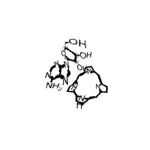 C1=C2CCC(=N2)C=C2CCC(N2)C2CCC(=N2)C=C2CCC1=N2.Nc1ncnc2c1ncn2[C@@H]1O[C@H](CO)[C@@H](O)[C@H]1O